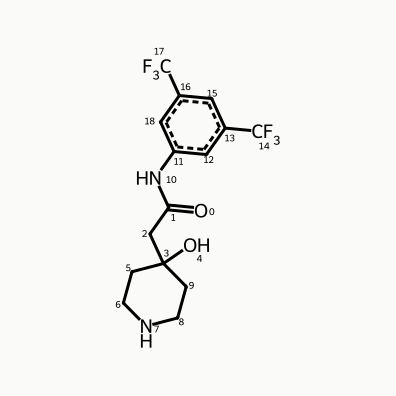 O=C(CC1(O)CCNCC1)Nc1cc(C(F)(F)F)cc(C(F)(F)F)c1